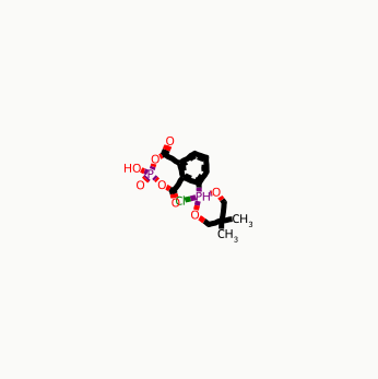 CC1(C)CO[PH](Cl)(c2cccc3c2C(=O)OP(=O)(O)OC3=O)OC1